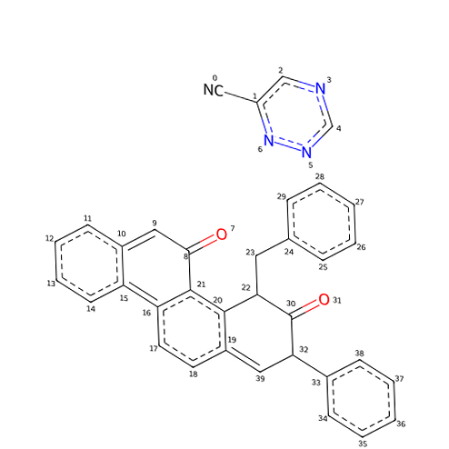 N#Cc1cncnn1.O=C1C=c2ccccc2=c2ccc3c(c21)C(Cc1ccccc1)C(=O)C(c1ccccc1)C=3